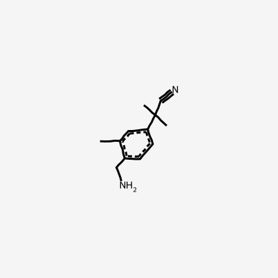 Cc1cc(C(C)(C)C#N)ccc1CN